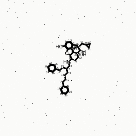 Oc1ccc2c3c1OC1C(NCC(CCCCc4ccccc4)CCc4ccccc4)CC[C@@]4(O)[C@@H](C2)N(CC2CC2)CC[C@]314